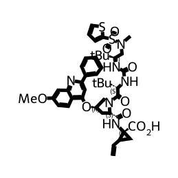 C=CC1C[C@]1(NC(=O)[C@@H]1C[C@@H](Oc2cc(-c3ccccc3)nc3cc(OC)ccc23)CN1C(=O)[C@@H](NC(=O)N[C@H](CN(C)S(=O)(=O)c1cccs1)C(C)(C)C)C(C)(C)C)C(=O)O